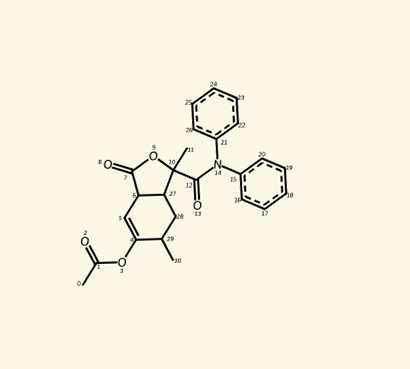 CC(=O)OC1=CC2C(=O)OC(C)(C(=O)N(c3ccccc3)c3ccccc3)C2CC1C